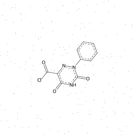 O=C(Cl)c1nn(-c2ccccc2)c(=O)[nH]c1=O